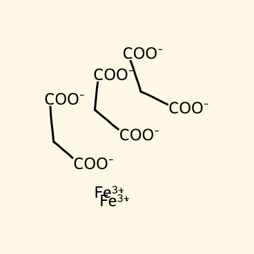 O=C([O-])CC(=O)[O-].O=C([O-])CC(=O)[O-].O=C([O-])CC(=O)[O-].[Fe+3].[Fe+3]